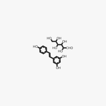 O=CC(O)C(O)C(O)C(O)CO.Oc1ccc(C=Cc2cc(O)cc(O)c2)cc1